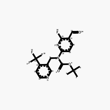 CC(C)(C)OC(=O)N(Cc1cnccc1C(F)(F)F)c1ccc(C=O)c(F)n1